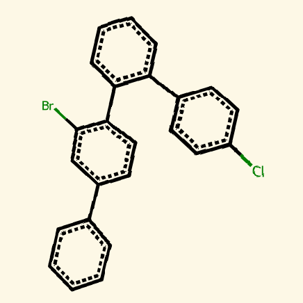 Clc1ccc(-c2ccccc2-c2ccc(-c3ccccc3)cc2Br)cc1